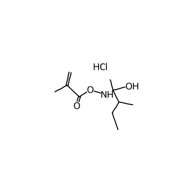 C=C(C)C(=O)ONC(C)(O)C(C)CC.Cl